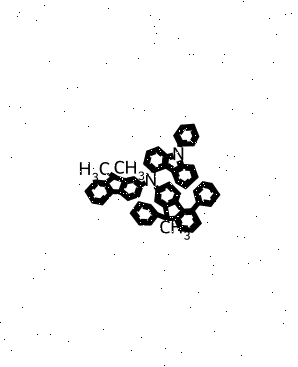 CC1(C)c2ccccc2-c2ccc(N(c3ccc4c(c3)C(C)(c3ccccc3)c3cccc(-c5ccccc5)c3-4)c3cccc4c3c3ccccc3n4-c3ccccc3)cc21